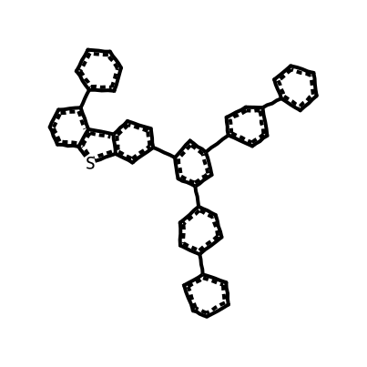 c1ccc(-c2ccc(-c3cc(-c4ccc(-c5ccccc5)cc4)cc(-c4ccc5c(c4)sc4cccc(-c6ccccc6)c45)c3)cc2)cc1